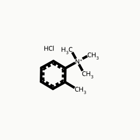 Cc1ccccc1[N+](C)(C)C.Cl